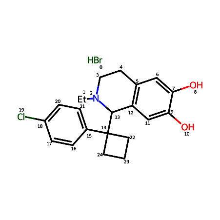 Br.CCN1CCc2cc(O)c(O)cc2C1C1(c2ccc(Cl)cc2)CCC1